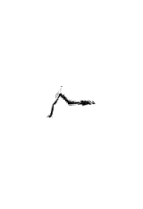 [CH2]C[C@H](C)CC#N